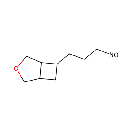 O=NCCCC1CC2COCC12